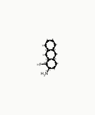 Nc1ccc2cc3ccccc3cc2c1F